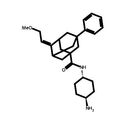 COCC=C1C2CC3(C(=O)N[C@H]4CC[C@H](N)CC4)CC1CC(c1ccccc1)(C2)C3